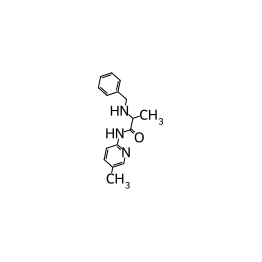 Cc1ccc(NC(=O)C(C)NCc2ccccc2)nc1